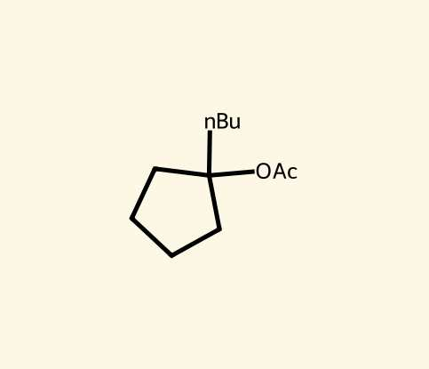 CCCCC1(OC(C)=O)CCCC1